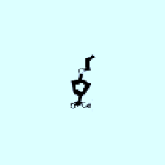 CCCOc1ccc([C](=O)[Ge])cc1